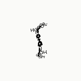 CCCCC(=O)OCC(O)COc1ccc(C(C)(C)c2ccc(OCC(O)COC(=O)CCC)cc2)cc1